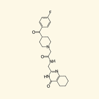 O=C(CN1CCC(C(=O)c2ccc(F)cc2)CC1)NCc1nc2c(c(=O)[nH]1)CCCC2